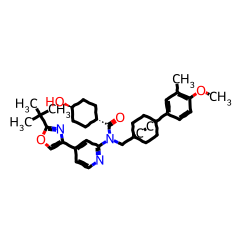 COc1ccc(C23CCC(CN(c4cc(-c5coc(C(C)(C)C)n5)ccn4)C(=O)[C@H]4CC[C@H](O)CC4)(CC2)CC3)cc1C